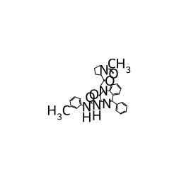 CC(=O)N1CCCC1C(=O)CN1C(=O)C(NC(=O)Nc2cccc(C)c2)N=C(c2ccccc2)c2ccccc21